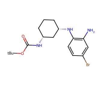 CC(C)(C)OC(=O)N[C@@H]1CCC[C@H](Nc2ccc(Br)cc2N)C1